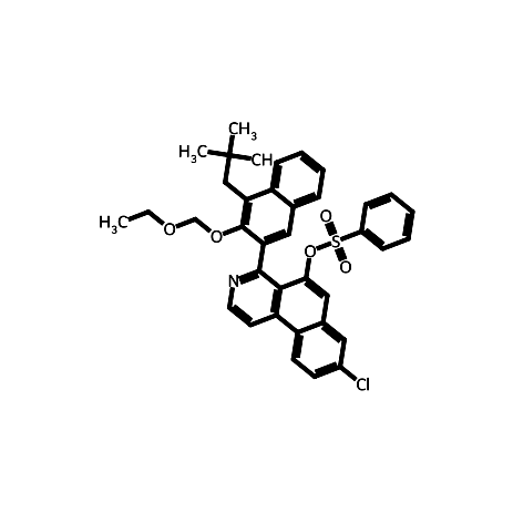 CCOCOc1c(-c2nccc3c2c(OS(=O)(=O)c2ccccc2)cc2cc(Cl)ccc23)cc2ccccc2c1CC(C)(C)C